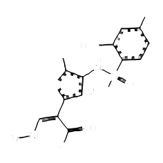 C=C(/C(=C\NN)c1cc(NP(=O)(OC)c2ccc(C)cc2C)c(C(=O)O)s1)C(F)(F)F